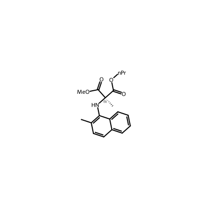 CCCOC(=O)[C@@](C)(Nc1c(C)ccc2ccccc12)C(=O)OC